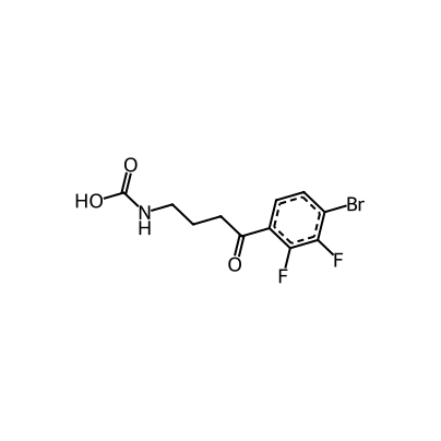 O=C(O)NCCCC(=O)c1ccc(Br)c(F)c1F